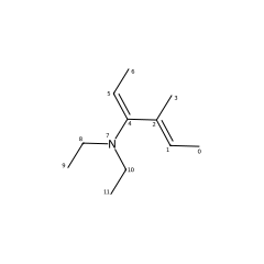 C/C=C(C)/C(=C\C)N(CC)CC